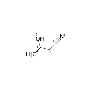 C[C@@H](O)CC#N